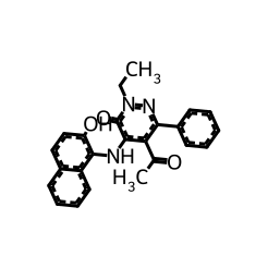 CCn1nc(-c2ccccc2)c(C(C)=O)c(Nc2c(O)ccc3ccccc23)c1=O